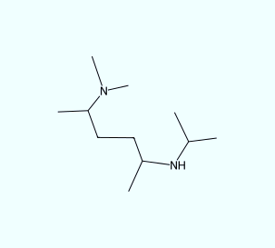 CC(C)NC(C)CCC(C)N(C)C